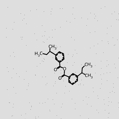 CCC(C)c1cccc(C(=O)OC(=O)c2cccc(C(C)CC)c2)c1